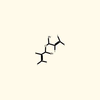 CC(C)C(OC(C(I)=C(I)I)C(C)C)C(I)=C(I)I